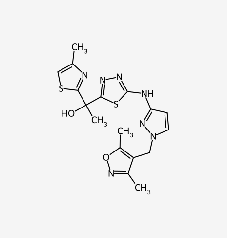 Cc1csc(C(C)(O)c2nnc(Nc3ccn(Cc4c(C)noc4C)n3)s2)n1